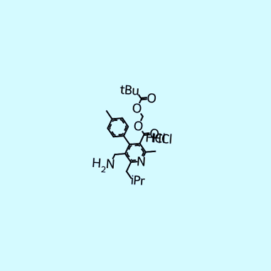 Cc1ccc(-c2c(CN)c(CC(C)C)nc(C)c2C(=O)OCOC(=O)C(C)(C)C)cc1.Cl.Cl